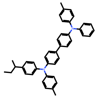 CCC(C)c1ccc(N(c2ccc(C)cc2)c2ccc(-c3ccc(N(c4ccccc4)c4ccc(C)cc4)cc3)cc2)cc1